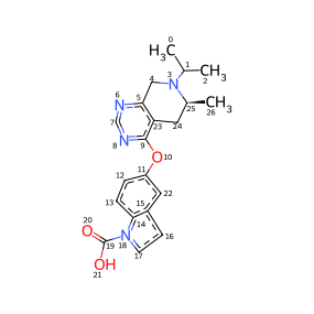 CC(C)N1Cc2ncnc(Oc3ccc4c(ccn4C(=O)O)c3)c2C[C@@H]1C